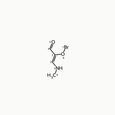 CN/C=C(/C=O)OBr